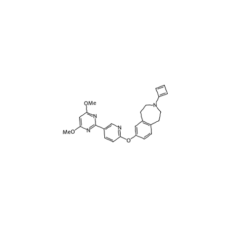 COc1cc(OC)nc(-c2ccc(Oc3ccc4c(c3)CCN(C3=CC=C3)CC4)nc2)n1